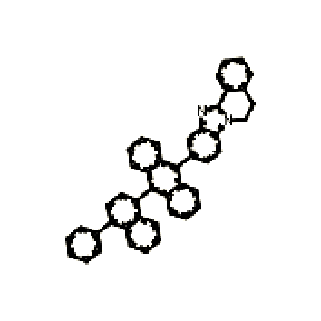 c1ccc(-c2ccc(-c3c4ccccc4c(-c4ccc5c(c4)nc4n5CCc5ccccc5-4)c4ccccc34)c3ccccc23)cc1